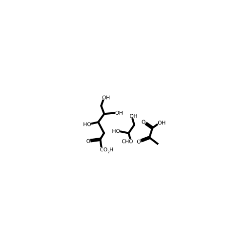 CC(=O)C(=O)O.O=C(O)C(=O)CC(O)C(O)CO.O=CC(O)CO